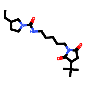 CCC1CCN(C(=O)NCCCCCN2C(=O)CC(C(C)(C)C)C2=O)C1